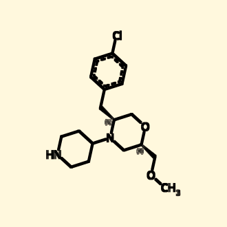 COC[C@H]1CN(C2CCNCC2)[C@@H](Cc2ccc(Cl)cc2)CO1